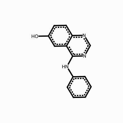 Oc1ccc2ncnc(Nc3ccccc3)c2c1